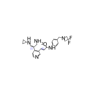 NC/C(=C\NC1CC1)c1ccncc1/C=C/C(=O)Nc1ccc(CN2CC(F)(F)C2)cc1